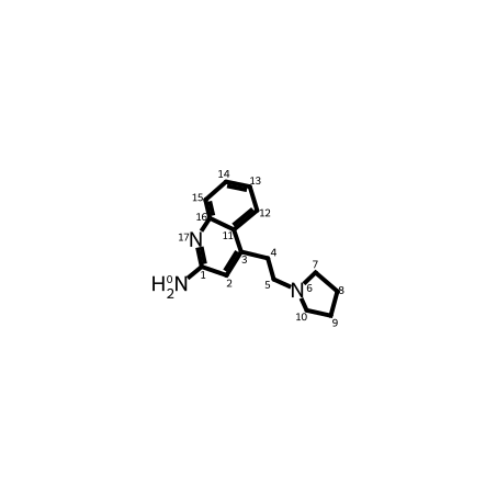 Nc1cc(CCN2CCCC2)c2ccccc2n1